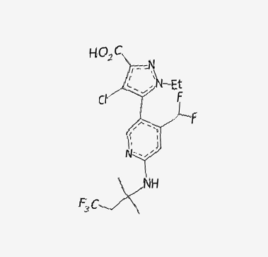 CCn1nc(C(=O)O)c(Cl)c1-c1cnc(NC(C)(C)CC(F)(F)F)cc1C(F)F